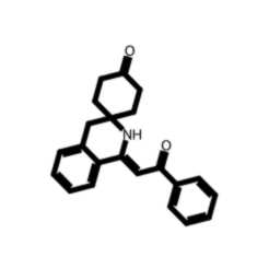 O=C1CCC2(CC1)Cc1ccccc1/C(=C/C(=O)c1ccccc1)N2